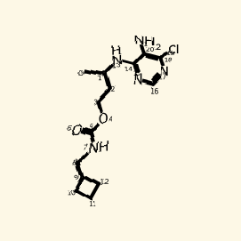 CC(CCOC(=O)NCC1CCC1)Nc1ncnc(Cl)c1N